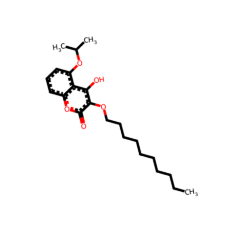 CCCCCCCCCCOc1c(O)c2c(OC(C)C)cccc2oc1=O